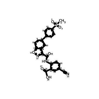 CS(=O)(=O)c1ccc(-c2ccc3onc(C(=O)Nc4ccc(C#N)cc4C(=O)O)c3c2)cc1